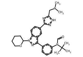 CN(C)Cc1nc(-c2ccc3c(c2)c(-c2cccc(N(C=O)C(C)(C)C)c2)nn3C2CCCCO2)n[nH]1